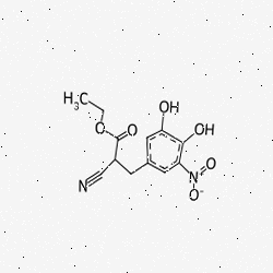 CCOC(=O)C(C#N)Cc1cc(O)c(O)c([N+](=O)[O-])c1